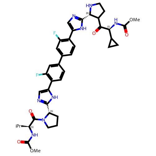 COC(=O)N[C@H](C(=O)N1CCC[C@H]1c1ncc(-c2ccc(-c3ccc(-c4cnc([C@@H]5NCCC5C(=O)[C@@H](NC(=O)OC)C5CC5)[nH]4)c(F)c3)cc2F)[nH]1)C(C)C